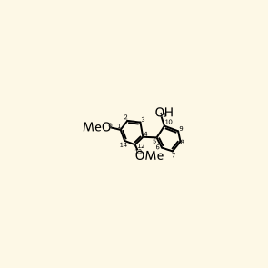 COc1ccc(-c2ccccc2O)c(OC)c1